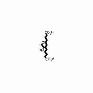 O=C(O)CCCCCCCCCCC(=O)O.OCCO